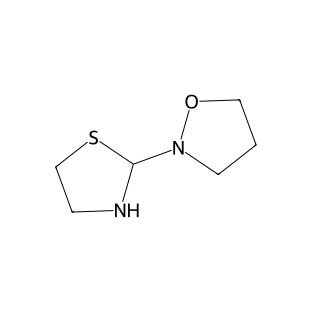 C1CON(C2NCCS2)C1